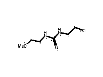 COCCNC(=O)NCCCl